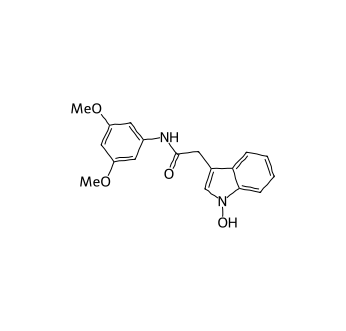 COc1cc(NC(=O)Cc2cn(O)c3ccccc23)cc(OC)c1